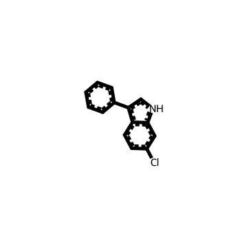 Clc1ccc2c(-c3ccccc3)c[nH]c2c1